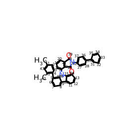 Cc1ccc(-c2cccc3c4ccccc4n(-c4cccc5c4C(=O)N(c4ccc(-c6ccccc6)cc4)C5=O)c23)c(C)c1